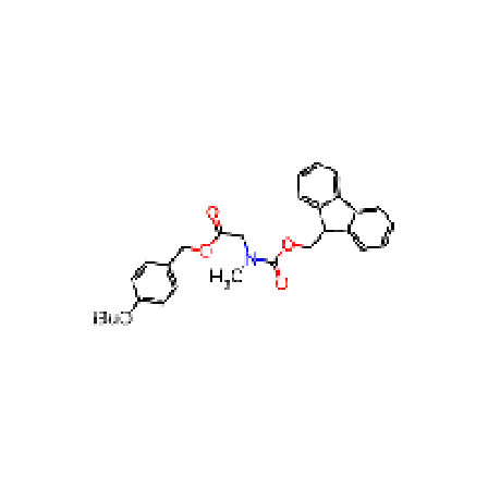 CC(C)COc1ccc(COC(=O)CN(C)C(=O)OCC2c3ccccc3-c3ccccc32)cc1